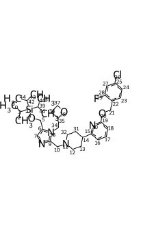 CC(C)[Si](OCc1cnc(CN2CCC(c3cccc(OCc4ccc(Cl)cc4F)n3)CC2)n1CC1CCO1)(C(C)C)C(C)C